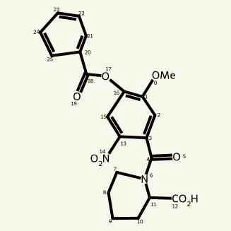 COc1cc(C(=O)N2CCCCC2C(=O)O)c([N+](=O)[O-])cc1OC(=O)c1ccccc1